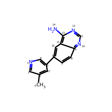 Cc1cncc(-c2ccc3ncnc(N)c3c2)c1